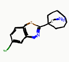 Brc1ccc2sc(C34CCC(CC3)NC4)nc2c1